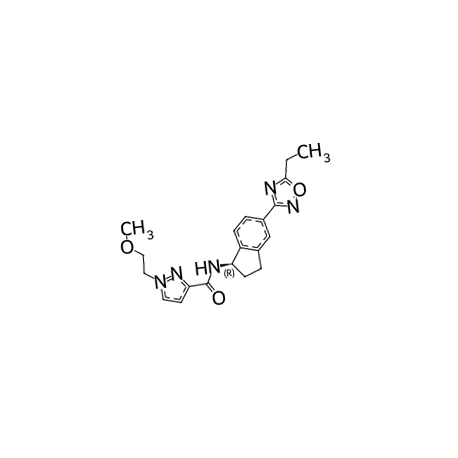 CCc1nc(-c2ccc3c(c2)CC[C@H]3NC(=O)c2ccn(CCOC)n2)no1